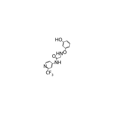 O=C(CNOc1cccc(O)c1)Nc1ccnc(C(F)(F)F)c1